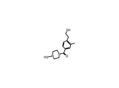 Cc1cc(C(=O)N2CCN(S)CC2)ccc1CCS